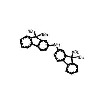 CCCCC1(CCCC)c2ccccc2-c2ccc(Nc3ccc4c(c3)C(CCCC)(CCCC)c3ccccc3-4)cc21